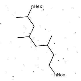 CCCCCCCCCC[CH]C(C)CC(C)CC(C)CCCCCC